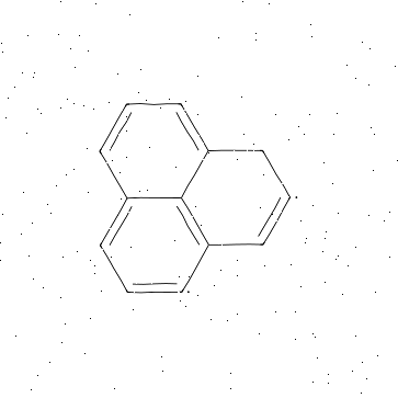 [C]1=Cc2[c]ccc3cccc(c23)C1